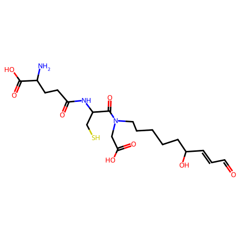 NC(CCC(=O)NC(CS)C(=O)N(CCCCCC(O)C=CC=O)CC(=O)O)C(=O)O